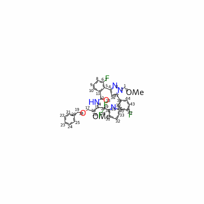 COCn1nc(-c2c(F)cccc2C(=O)N[C@@H]([C@@H](COCc2ccccc2)OC)C(F)(F)c2ccccn2)cc1-c1ccc(F)cc1